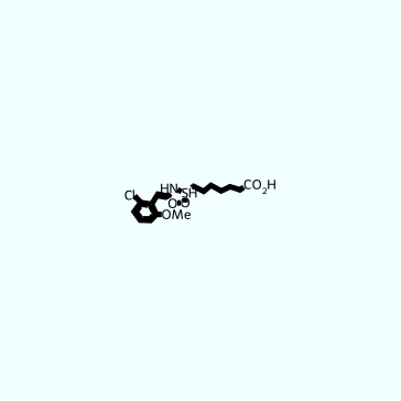 COc1cccc(Cl)c1/C=C1/N[SH](CCCCCCC(=O)O)OO1